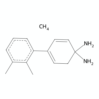 C.Cc1cccc(C2=CCC(N)(N)C=C2)c1C